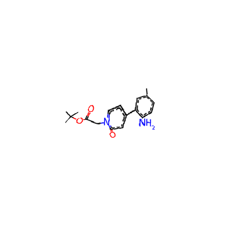 Cc1ccc(N)c(-c2ccn(CC(=O)OC(C)(C)C)c(=O)c2)c1